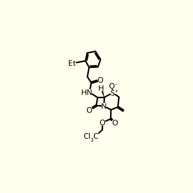 C=C1C[S+]([O-])[C@H]2C(NC(=O)Cc3ccccc3CC)C(=O)N2C1C(=O)OCC(Cl)(Cl)Cl